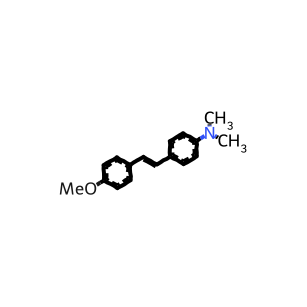 COc1ccc(C=Cc2ccc(N(C)C)cc2)cc1